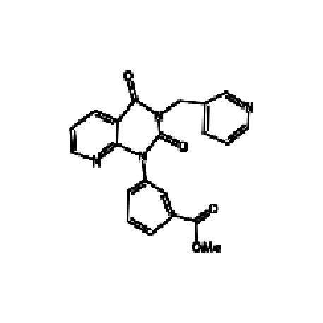 COC(=O)c1cccc(-n2c(=O)n(Cc3cccnc3)c(=O)c3cccnc32)c1